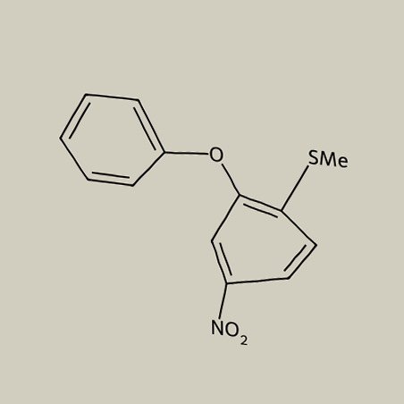 CSc1ccc([N+](=O)[O-])cc1Oc1ccccc1